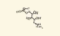 CNC[C@H](O)[C@@H](O)[C@H](O)[C@H]1COB(O)O1